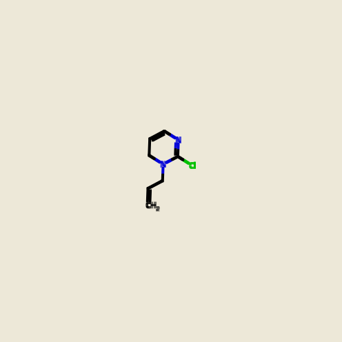 C=CCN1CC=CN=C1Cl